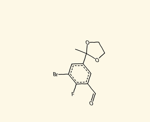 CC1(c2cc(Br)c(F)c(C=O)c2)OCCO1